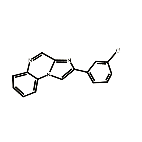 Clc1cccc(-c2cn3c(cnc4ccccc43)n2)c1